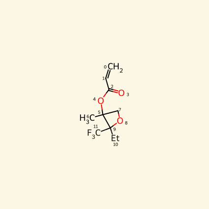 C=CC(=O)OC1(C)COC1(CC)C(F)(F)F